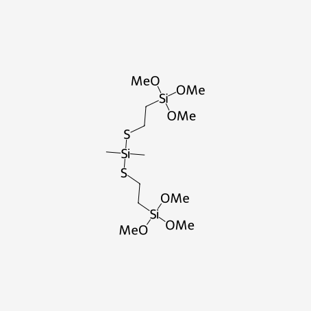 CO[Si](CCS[Si](C)(C)SCC[Si](OC)(OC)OC)(OC)OC